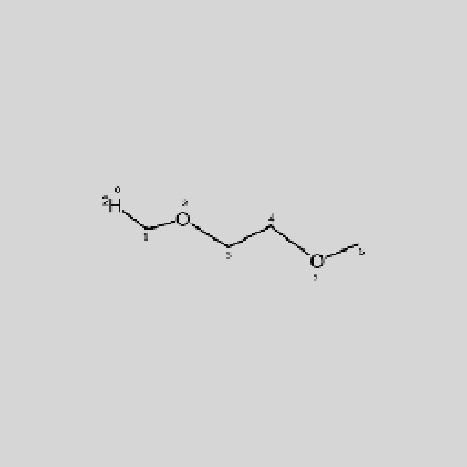 [2H]COCCOC